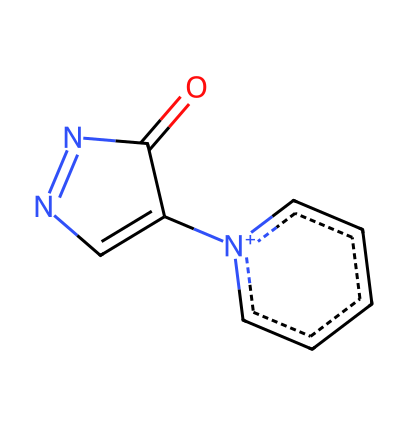 O=C1N=NC=C1[n+]1ccccc1